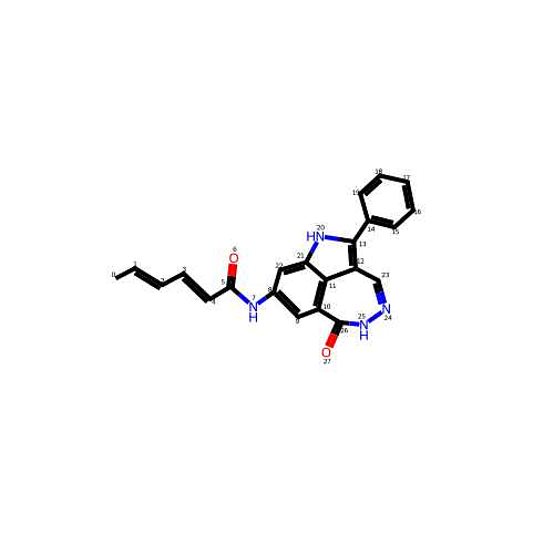 C/C=C/C=C/C(=O)Nc1cc2c3c(c(-c4ccccc4)[nH]c3c1)C=NNC2=O